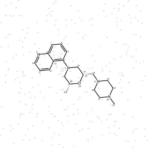 C[C@@H]1CN(c2cccc3ncccc23)C[C@H](CN2CCN(C)CC2)O1